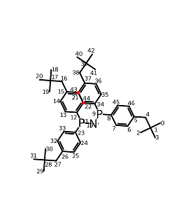 CC(C)(C)Cc1ccc(P([N]P(c2ccc(CC(C)(C)C)cc2)c2ccc(CC(C)(C)C)cc2)c2ccc(CC(C)(C)C)cc2)cc1